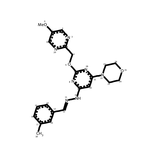 COc1cnc(COc2nc(N/N=C/c3cccc(C)c3)cc(N3CCOCC3)n2)nc1